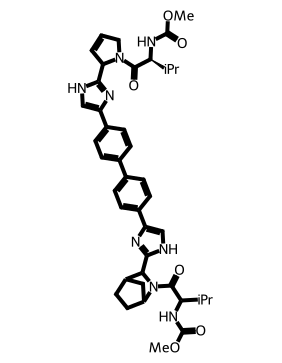 COC(=O)NC(C(=O)N1C2CCC(C2)C1c1nc(-c2ccc(-c3ccc(-c4c[nH]c(C5C=CCN5C(=O)[C@@H](NC(=O)OC)C(C)C)n4)cc3)cc2)c[nH]1)C(C)C